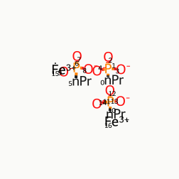 CCCP(=O)([O-])[O-].CCCP(=O)([O-])[O-].CCCP(=O)([O-])[O-].[Fe+3].[Fe+3]